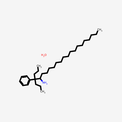 CCCCCCCCCCCCCCCCCC(N)C(CCC)(CCC)c1ccccc1.O